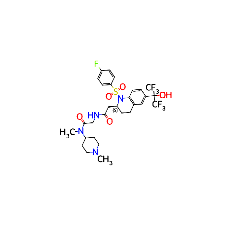 CN1CCC(N(C)C(=O)CNC(=O)C[C@@H]2CCc3cc(C(O)(C(F)(F)F)C(F)(F)F)ccc3N2S(=O)(=O)c2ccc(F)cc2)CC1